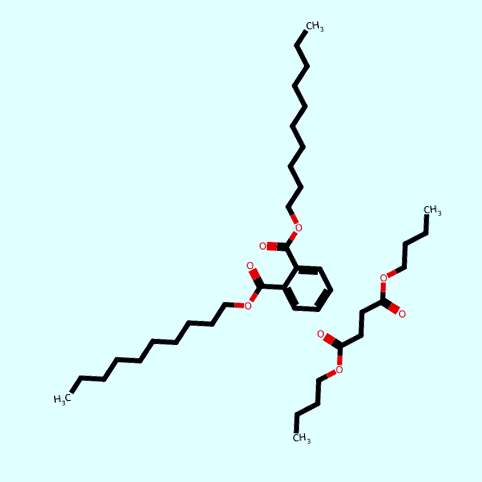 CCCCCCCCCCOC(=O)c1ccccc1C(=O)OCCCCCCCCCC.CCCCOC(=O)CCC(=O)OCCCC